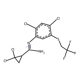 N/C(=N\c1cc(SCC(F)(F)F)c(Cl)cc1Cl)C1CC1(Cl)Cl